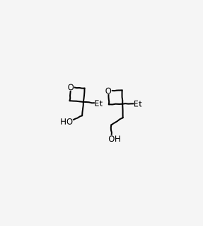 CCC1(CCO)COC1.CCC1(CO)COC1